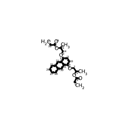 C=CC(=O)OC(C)COc1ccc(OCC(C)OC(=O)C=C)c2cc3ccccc3cc12